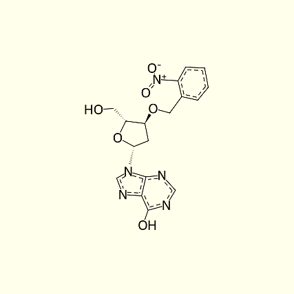 O=[N+]([O-])c1ccccc1CO[C@H]1C[C@H](n2cnc3c(O)ncnc32)O[C@@H]1CO